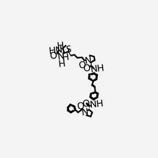 O=C1N[C@H]2[C@H](CS[C@H]2CCCCC(=O)N2CCC[C@H]2C(=O)Nc2ccc(/C=C/c3ccc(NC(=O)[C@@H]4CCCN4C(=O)Cc4ccccc4)cc3)cc2)N1